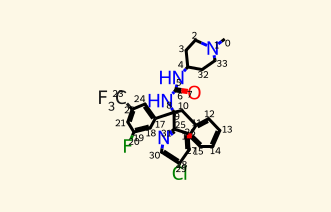 CN1CCC(NC(=O)NC(Cc2ccccc2)(c2cc(F)cc(C(F)(F)F)c2)c2ccc(Cl)cn2)CC1